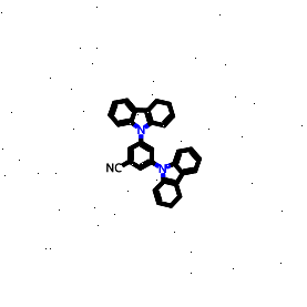 N#Cc1cc(-n2c3c(c4ccccc42)CCC=C3)cc(-n2c3c(c4ccccc42)CCC=C3)c1